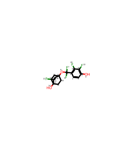 Oc1ccc(C(F)(F)OC23C=C(F)C(O)(CC2)CC3)c(F)c1F